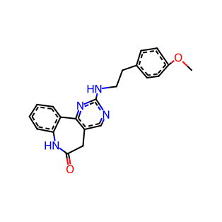 COc1ccc(CCNc2ncc3c(n2)-c2ccccc2NC(=O)C3)cc1